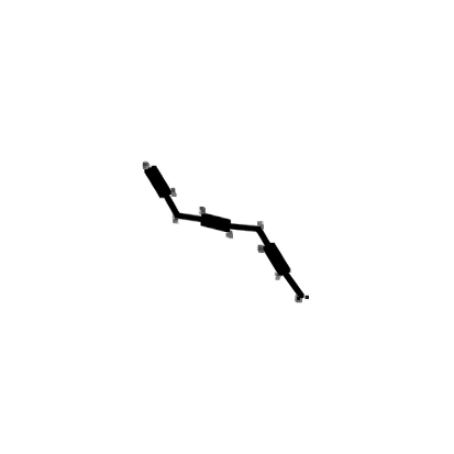 C#CCC#CCC#C[CH2]